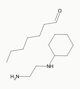 CCCCCCC=O.NCCNC1CCCCC1